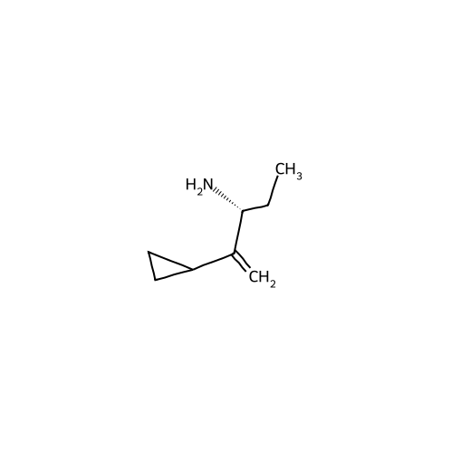 C=C(C1CC1)[C@H](N)CC